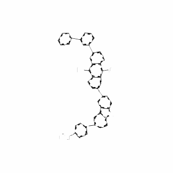 CC(C)c1c2ccc(-c3ccc4sc5ccc(-c6ccc(C(C)(C)C)cc6)cc5c4c3)cc2c(C(C)C)c2ccc(-c3cccc(-c4ccccc4)c3)cc12